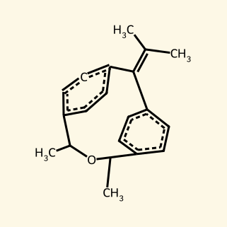 CC(C)=C1c2ccc(cc2)C(C)OC(C)c2ccc1cc2